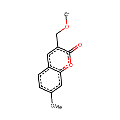 CCOCc1cc2ccc(OC)cc2oc1=O